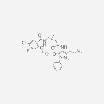 COCOc1cc(F)c(Cl)cc1C(=O)NCC(C)(C)CC(=O)Nc1c(CCN(C)C)n(C)n(-c2ccccc2)c1=O